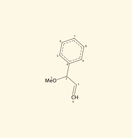 [CH]=CC(OC)c1ccccc1